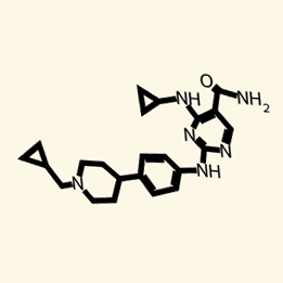 NC(=O)c1cnc(Nc2ccc(C3CCN(CC4CC4)CC3)cc2)nc1NC1CC1